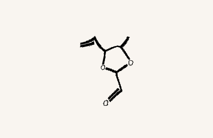 C=CC1OC(C=O)OC1C